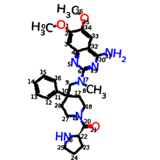 COc1cc2nc(N(C)CC3(c4ccccc4)CCN(C(=O)[C@H]4CCCN4)CC3)nc(N)c2cc1OC